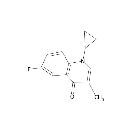 Cc1cn(C2CC2)c2ccc(F)cc2c1=O